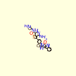 COc1cc(-c2csc3c(C(=O)NC4CCNC4)cnc(N)c23)ccc1NC(=O)c1cc2ccccc2n1C